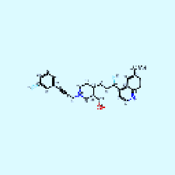 COc1ccc2nccc(C(F)CC[C@@H]3CCN(CC#Cc4cccc(F)c4)C[C@@H]3CO)c2c1